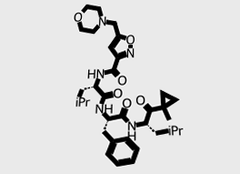 CC(C)C[C@H](NC(=O)c1cc(CN2CCOCC2)on1)C(=O)N[C@@H](Cc1ccccc1)C(=O)N[C@@H](CC(C)C)C(=O)C1(C)CC1